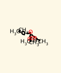 CCCCOCCCC(CC(=O)OC(C)(C)C)C(=O)C#C[C@H]1CC[C@H](CC(C)C)CC1